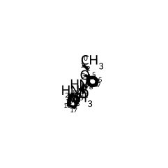 CCCOc1ccccc1NC(=O)NC1CC2CCC(C1)N2C